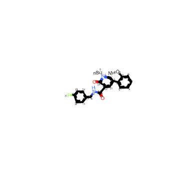 CCCCn1cc(-c2ccccc2OC)cc(C(=O)NCc2ccc(F)cc2)c1=O